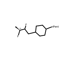 CCCCCC1CCC(CC(F)[C@H](C)F)CC1